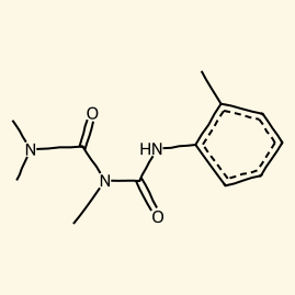 Cc1ccccc1NC(=O)N(C)C(=O)N(C)C